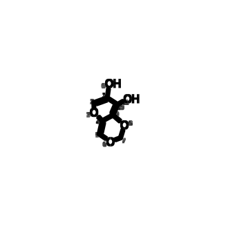 OC1=COC2=COCOC2=C1O